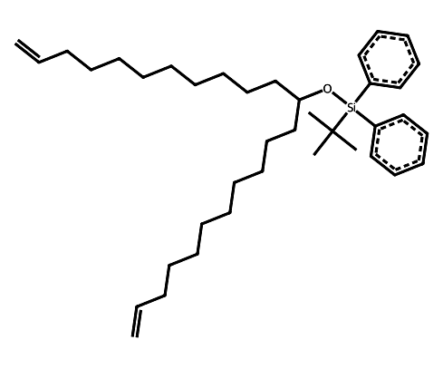 C=CCCCCCCCCCC(CCCCCCCCCC=C)O[Si](c1ccccc1)(c1ccccc1)C(C)(C)C